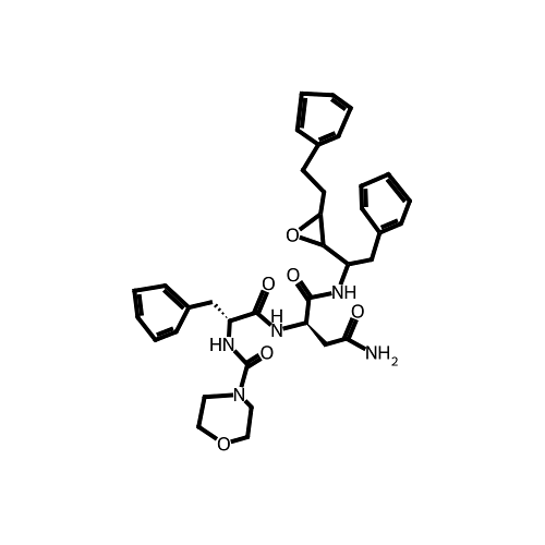 NC(=O)C[C@@H](NC(=O)[C@@H](Cc1ccccc1)NC(=O)N1CCOCC1)C(=O)NC(Cc1ccccc1)C1OC1CCc1ccccc1